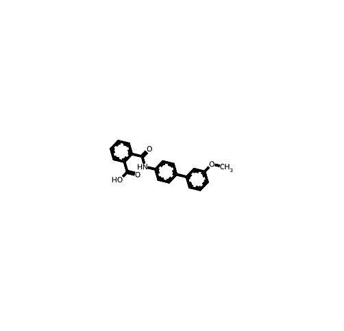 COc1cccc(-c2ccc(NC(=O)c3ccccc3C(=O)O)cc2)c1